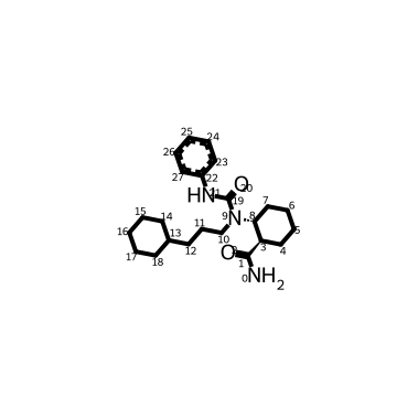 NC(=O)[C@@H]1CCCC[C@H]1N(CCCC1CCCCC1)C(=O)Nc1ccccc1